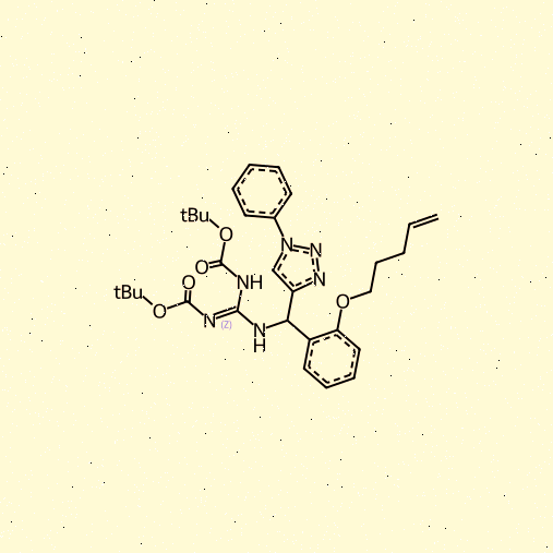 C=CCCCOc1ccccc1C(N/C(=N/C(=O)OC(C)(C)C)NC(=O)OC(C)(C)C)c1cn(-c2ccccc2)nn1